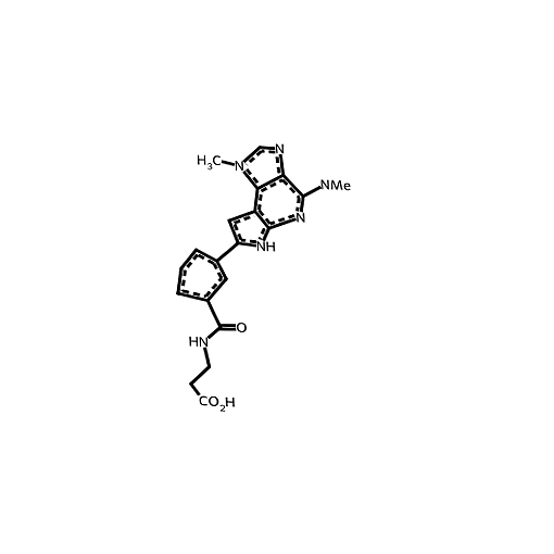 CNc1nc2[nH]c(-c3cccc(C(=O)NCCC(=O)O)c3)cc2c2c1ncn2C